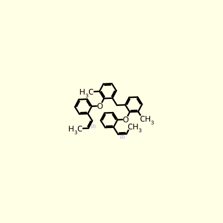 C/C=C\c1ccccc1Oc1c(C)cccc1Cc1cccc(C)c1Oc1ccccc1/C=C\C